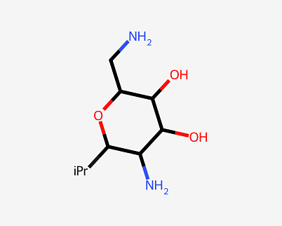 CC(C)C1OC(CN)C(O)C(O)C1N